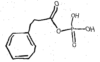 O=C(Cc1ccccc1)OP(=O)(O)O